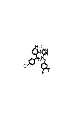 Cc1nnc2n1-c1ccccc1C(c1ccc(Cl)cc1)=NN2Cc1ccc(F)c(F)c1